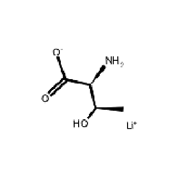 C[C@@H](O)[C@H](N)C(=O)[O-].[Li+]